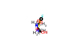 CC(C)(CO)c1cc(-c2nnc(C(C)(C)S(=O)(=O)c3ccc(F)cc3)s2)on1